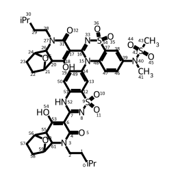 CC(C)CCN1C(=O)C(C2=NS(=O)(=O)c3cc(N4C(C5=C(O)C6C7CCC(O7)C6N(CCC(C)C)C5=O)=NS(=O)(=O)c5cc(N(C)S(C)(=O)=O)ccc54)ccc3N2)=C(O)C2C3CCC(O3)C21